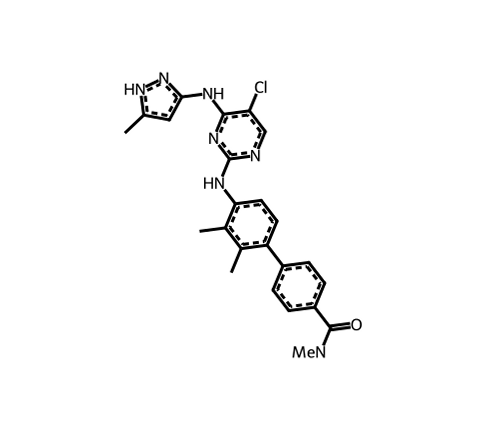 CNC(=O)c1ccc(-c2ccc(Nc3ncc(Cl)c(Nc4cc(C)[nH]n4)n3)c(C)c2C)cc1